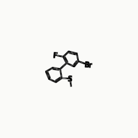 CSc1ccccc1-c1cc(Br)ccc1F